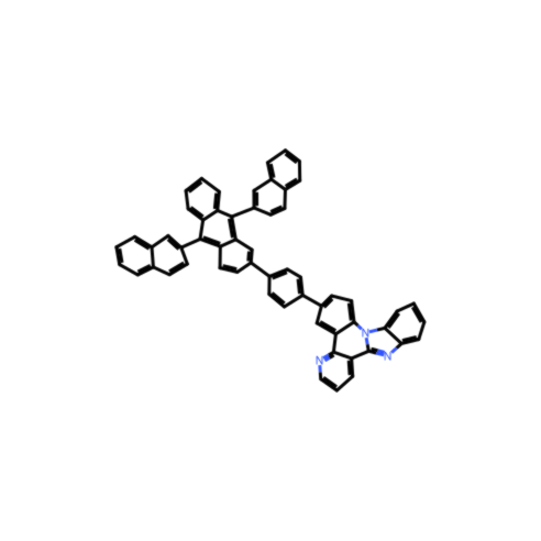 c1ccc2cc(-c3c4ccccc4c(-c4ccc5ccccc5c4)c4cc(-c5ccc(-c6ccc7c(c6)c6ncccc6c6nc8ccccc8n76)cc5)ccc34)ccc2c1